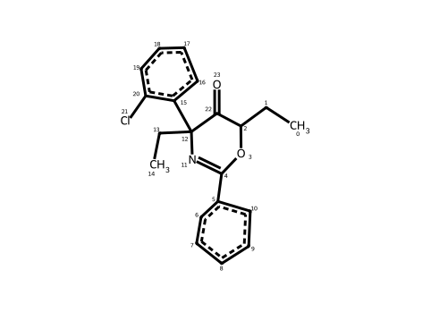 CCC1OC(c2ccccc2)=NC(CC)(c2ccccc2Cl)C1=O